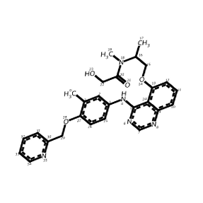 Cc1cc(Nc2ncnc3cccc(OCC(C)N(C)C(=O)CO)c23)ccc1OCc1ccccn1